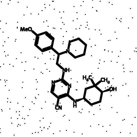 COc1ccc(C(CNc2ncc(C#N)c(N[C@@H]3CC[C@H](O)C(C)(C)C3)n2)N2CCCCC2)cc1